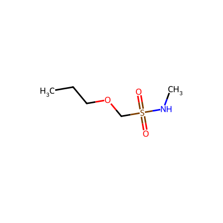 CCCOCS(=O)(=O)NC